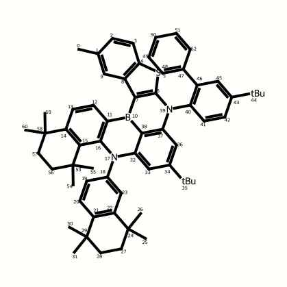 Cc1ccc2sc3c(c2c1)B1c2ccc4c(c2N(c2ccc5c(c2)C(C)(C)CCC5(C)C)c2cc(C(C)(C)C)cc(c21)N3c1ccc(C(C)(C)C)cc1-c1ccccc1)C(C)(C)CCC4(C)C